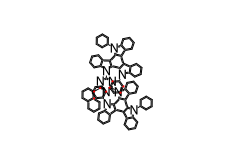 c1ccc(-n2c3ccccc3c3c4c5ccccc5n(-c5ccccc5)c4c4c(c5ccccc5n4-c4nc(-c5cccc6ccccc56)nc(-n5c6ccccc6c6c7c(c8ccccc8n7-c7ccccc7)c7c8ccccc8n(-c8ccccc8)c7c65)n4)c32)cc1